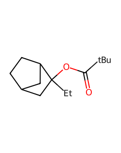 CCC1(OC(=O)C(C)(C)C)CC2CCC1C2